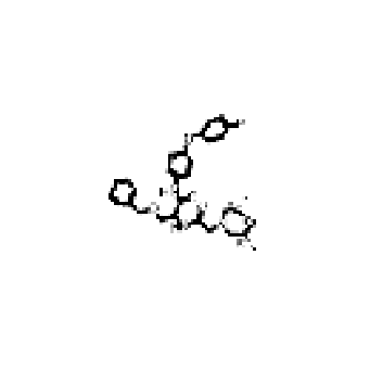 C[C@@H]1CN(CC(=O)NC(COCc2ccccc2)C(=O)Nc2ccc(Oc3ccc(F)cc3)cc2)C[C@H](C)O1